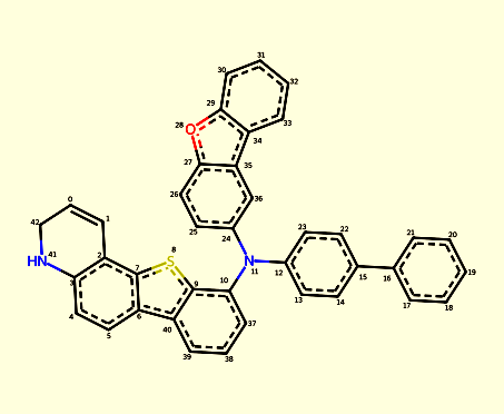 C1=Cc2c(ccc3c2sc2c(N(c4ccc(-c5ccccc5)cc4)c4ccc5oc6ccccc6c5c4)cccc23)NC1